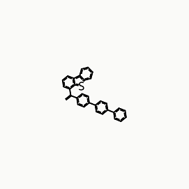 C=C(c1ccc(-c2ccc(-c3ccccc3)cc2)cc1)c1cccc2c1sc1ccccc12